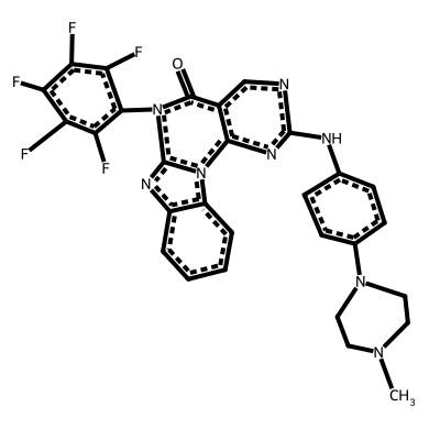 CN1CCN(c2ccc(Nc3ncc4c(=O)n(-c5c(F)c(F)c(F)c(F)c5F)c5nc6ccccc6n5c4n3)cc2)CC1